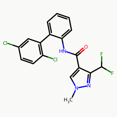 Cn1cc(C(=O)Nc2ccccc2-c2cc(Cl)ccc2Cl)c(C(F)F)n1